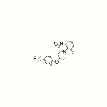 O=[N+]([O-])c1cccc(F)c1N1CCC(Oc2ccc(C(F)(F)F)cn2)CC1